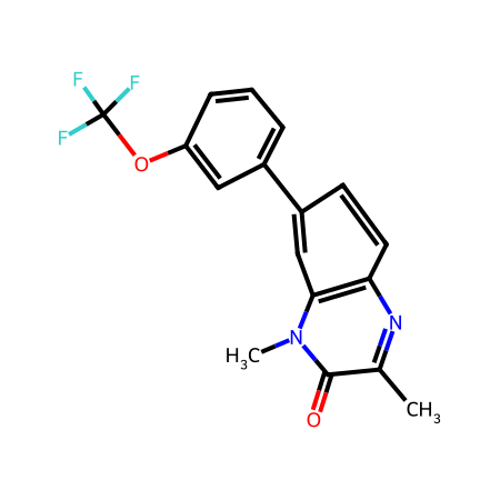 Cc1nc2ccc(-c3cccc(OC(F)(F)F)c3)cc2n(C)c1=O